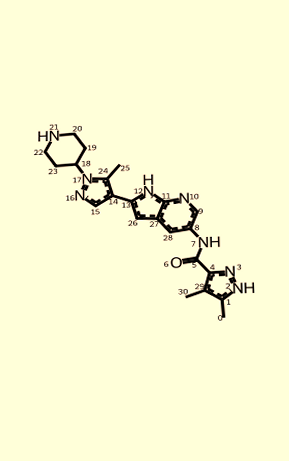 Cc1[nH]nc(C(=O)Nc2cnc3[nH]c(-c4cnn(C5CCNCC5)c4C)cc3c2)c1C